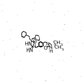 CC(C)[C@H]1CN(Cc2ccc(CN3C(=N)N[C@](CCC4CCCCC4)(CC4CCCCC4)C3=O)cc2)C(=O)N1